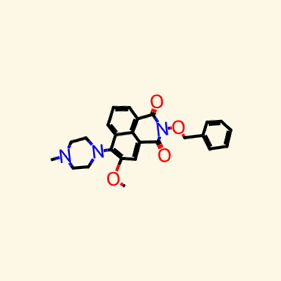 COc1cc2c3c(cccc3c1N1CCN(C)CC1)C(=O)N(OCc1ccccc1)C2=O